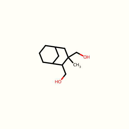 CC1(CO)CC2CCCC(C2)C1CO